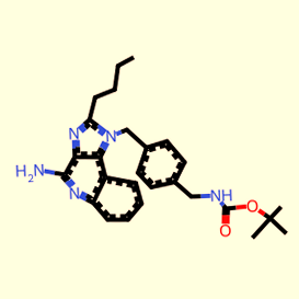 CCCCc1nc2c(N)nc3ccccc3c2n1Cc1ccc(CNC(=O)OC(C)(C)C)cc1